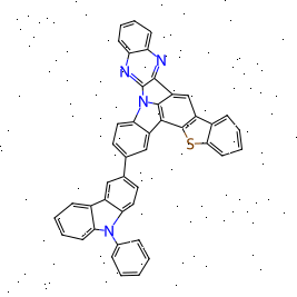 c1ccc(-n2c3ccccc3c3cc(-c4ccc5c(c4)c4c6sc7ccccc7c6cc6c7nc8ccccc8nc7n5c64)ccc32)cc1